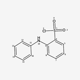 O=S(=O)(Cl)c1ccccc1Nc1ccccc1